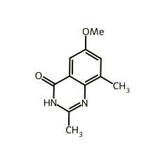 COc1cc(C)c2nc(C)[nH]c(=O)c2c1